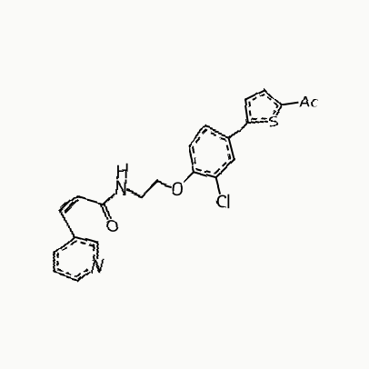 CC(=O)c1ccc(-c2ccc(OCCNC(=O)/C=C\c3cccnc3)c(Cl)c2)s1